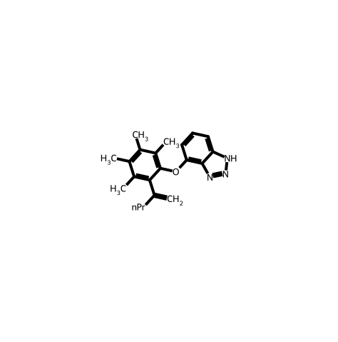 C=C(CCC)c1c(C)c(C)c(C)c(C)c1Oc1cccc2[nH]nnc12